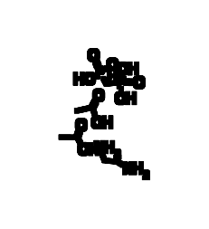 CC(=O)O.CC(=O)O.NCCN.O=P(O)(O)CP(=O)(O)O